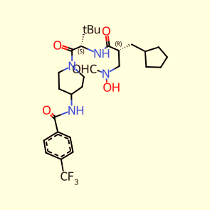 CC(C)(C)[C@H](NC(=O)[C@H](CC1CCCC1)CN(O)C=O)C(=O)N1CCC(NC(=O)c2ccc(C(F)(F)F)cc2)CC1